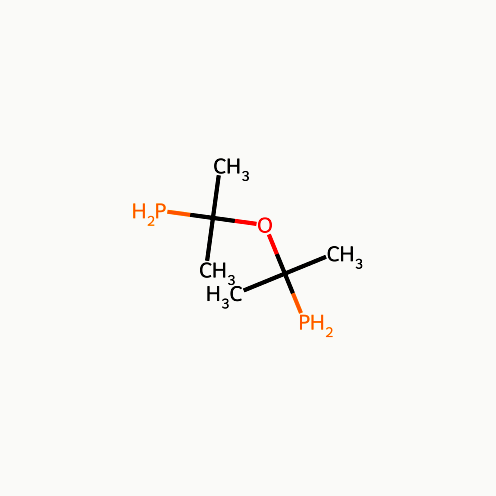 CC(C)(P)OC(C)(C)P